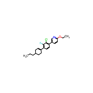 CCCC1CC=C(c2ccc(-c3ccc(OCC)nc3)c(Cl)c2F)CC1